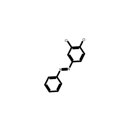 Clc1ccc(N=Nc2ccccc2)cc1Cl